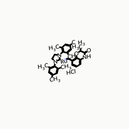 Cc1cc(C)c(N2CCN(c3c(C)cc(C)cc3C)[CH]2/[Ru]=[CH]/c2cccc3c2OC(C)C(=O)N3)c(C)c1.Cl